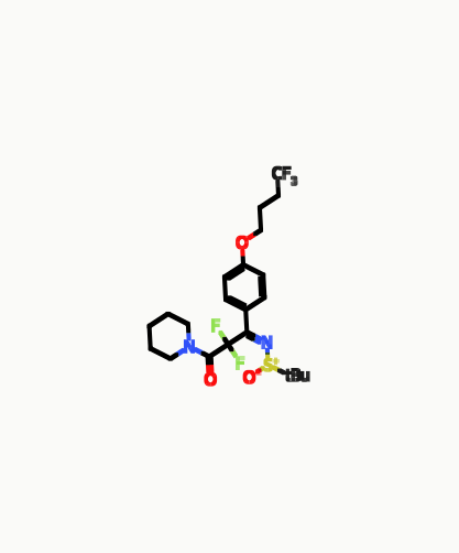 CC(C)(C)[S+]([O-])N=C(c1ccc(OCCCC(F)(F)F)cc1)C(F)(F)C(=O)N1CCCCC1